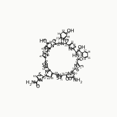 Cc1sc2nc1C(=O)N[C@@H]([C@H](O)c1ccccc1)c1nc(cs1)C(=O)N[C@@H](Cc1ccc(O)cc1)C(=O)N1C[C@H](O)[C@H](C)[C@H]1c1nc(cs1)-c1nc(cs1)-c1nc(-c3nc(C(N)=O)cs3)ccc1-c1nc(cs1)C(=O)N[C@H]2CC(N)=O